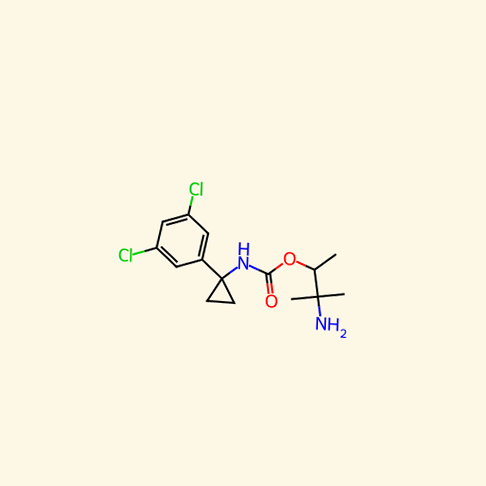 CC(OC(=O)NC1(c2cc(Cl)cc(Cl)c2)CC1)C(C)(C)N